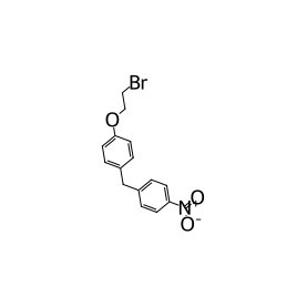 O=[N+]([O-])c1ccc(Cc2ccc(OCCBr)cc2)cc1